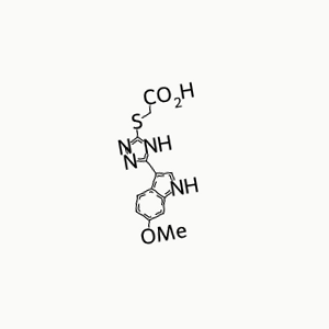 COc1ccc2c(-c3nnc(SCC(=O)O)[nH]3)c[nH]c2c1